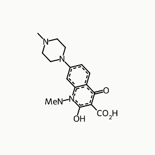 CNn1c(O)c(C(=O)O)c(=O)c2ccc(N3CCN(C)CC3)cc21